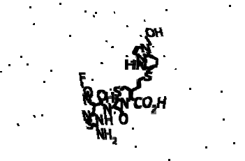 Nc1nc(/C(=N/OCF)C(=O)N[C@@H]2C(=O)N3C(C(=O)O)=C(/C=C/SC4=CC=C5N(CCO)C=CN5N4)CS[C@@H]23)ns1